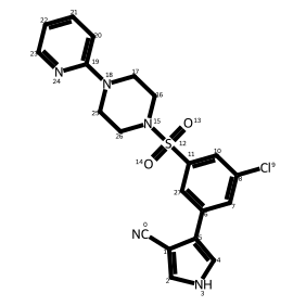 N#Cc1c[nH]cc1-c1cc(Cl)cc(S(=O)(=O)N2CCN(c3ccccn3)CC2)c1